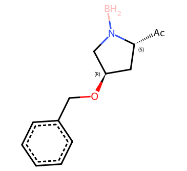 BN1C[C@H](OCc2ccccc2)C[C@H]1C(C)=O